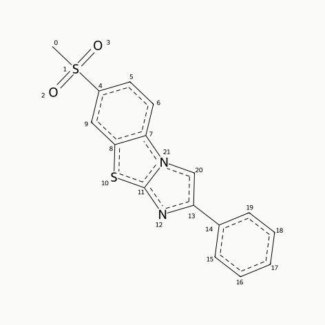 CS(=O)(=O)c1ccc2c(c1)sc1nc(-c3ccccc3)cn12